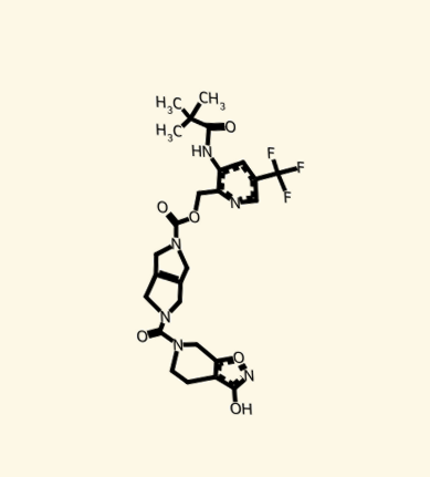 CC(C)(C)C(=O)Nc1cc(C(F)(F)F)cnc1COC(=O)N1CC2=C(C1)CN(C(=O)N1CCc3c(O)noc3C1)C2